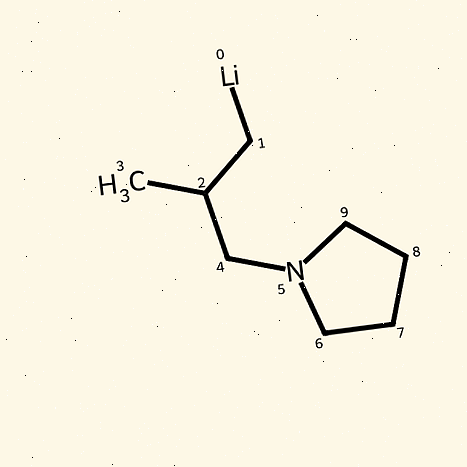 [Li][CH2]C(C)CN1CCCC1